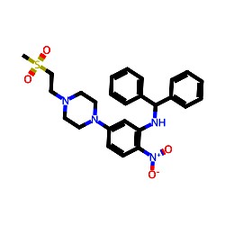 CS(=O)(=O)CCN1CCN(c2ccc([N+](=O)[O-])c(NC(c3ccccc3)c3ccccc3)c2)CC1